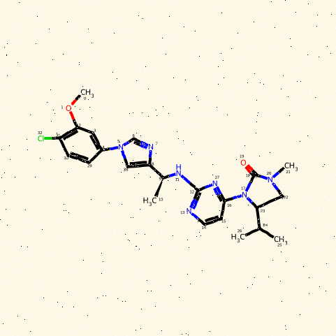 COc1cc(-n2cnc([C@H](C)Nc3nccc(N4C(=O)N(C)CC4C(C)C)n3)c2)ccc1Cl